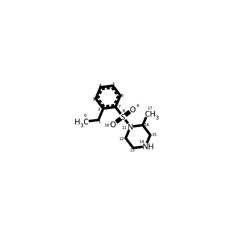 CCc1ccccc1S(=O)(=O)N1CCNCC1C